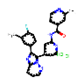 Cc1cc(C(=O)Nc2cc(-c3c(-c4ccc(F)c(C)c4)nc4cccnn34)ccn2)ccn1.Cl.Cl